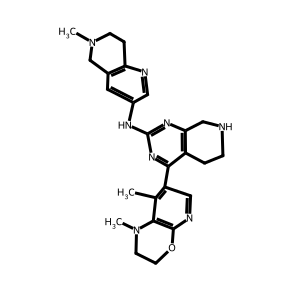 Cc1c(-c2nc(Nc3cnc4c(c3)CN(C)CC4)nc3c2CCNC3)cnc2c1N(C)CCO2